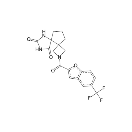 O=C1NC(=O)C2(CCCC23CN(C(=O)c2cc4cc(C(F)(F)F)ccc4o2)C3)N1